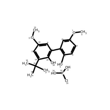 COc1ccc(O)c(-c2cc(OC)cc(C(C)(C)C)c2O)c1.OP(O)Cl